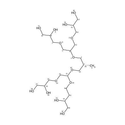 C[C@@H](COC(COCC(O)CO)COCC(O)CO)COC(COCC(O)CO)OCCC(O)CO